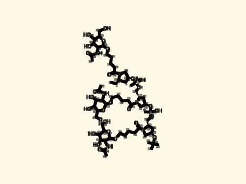 CC[C@@H]1C[C@@H](O[PH](C)(O)OC[C@@H]2C[C@@H](O[PH](C)(O)OC[C@@H]3C[C@@H](OC(C)(C)C)CN3C(=O)CCCCOC3OC(CO)C(O)C(O)C3NC(C)=O)CN2C(=O)CCCCOC2OC(CO)C(O)C(O)C2NC(C)=O)CN1C(=O)CCCCOC1OC(CO)C(O)C(O)C1NC(C)=O